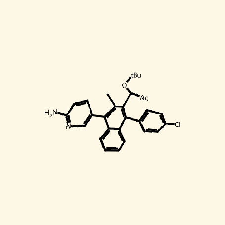 CC(=O)C(OC(C)(C)C)c1c(C)c(-c2ccc(N)nc2)c2ccccc2c1-c1ccc(Cl)cc1